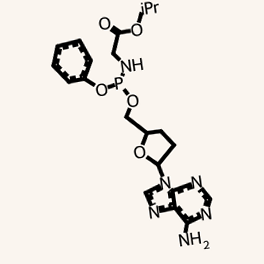 CC(C)OC(=O)CNP(OCC1CCC(n2cnc3c(N)ncnc32)O1)Oc1ccccc1